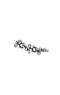 CCCC(=O)C1CCN(CON(C)C(=O)C2CCN(C(=O)OC(C)(C)C)CC2)CC1